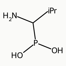 CC(C)C(N)P(O)O